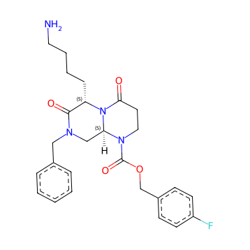 NCCCC[C@H]1C(=O)N(Cc2ccccc2)C[C@@H]2N(C(=O)OCc3ccc(F)cc3)CCC(=O)N21